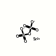 O=S(=O)([O-])OS(=O)(=O)[O-].[Sr+2]